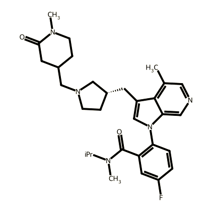 Cc1cncc2c1c(C[C@@H]1CCN(CC3CCN(C)C(=O)C3)C1)cn2-c1ccc(F)cc1C(=O)N(C)C(C)C